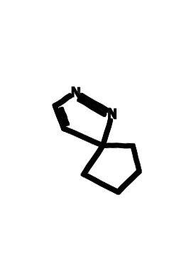 C1=CC2(CCCC2)N=N1